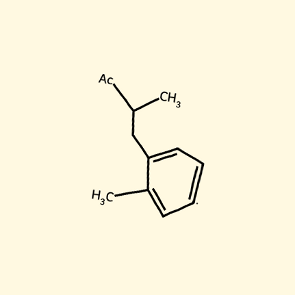 CC(=O)C(C)Cc1cc[c]cc1C